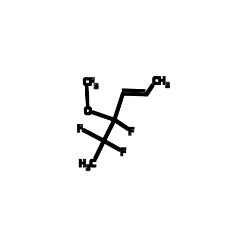 C/C=C/C(F)(OC(F)(F)F)C(C)(F)F